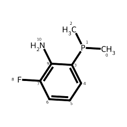 CP(C)c1cccc(F)c1N